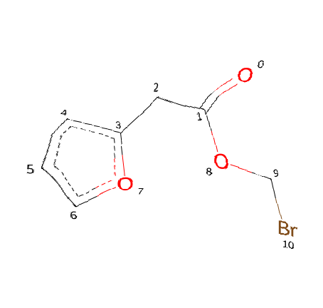 O=C(Cc1ccco1)OCBr